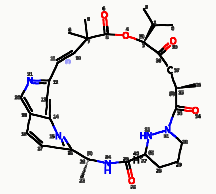 CC(C)[C@@H]1OC(=O)C(C)(C)/C=C/c2cc3nc(ccc3cn2)[C@@H](C)NC(=O)[C@@H]2CCCN(N2)C(=O)[C@H](C)CC1=O